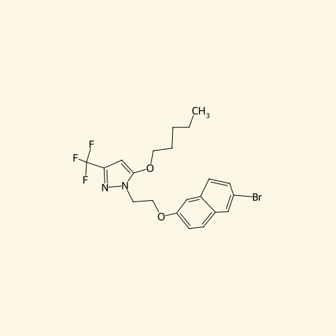 CCCCCOc1cc(C(F)(F)F)nn1CCOc1ccc2cc(Br)ccc2c1